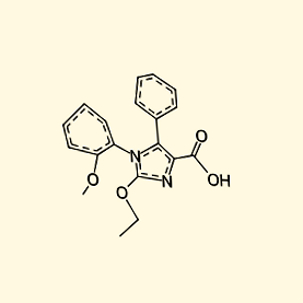 CCOc1nc(C(=O)O)c(-c2ccccc2)n1-c1ccccc1OC